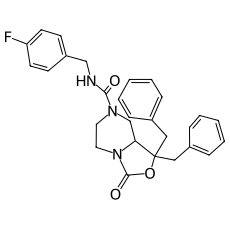 O=C(NCc1ccc(F)cc1)N1CCN2C(=O)OC(Cc3ccccc3)(Cc3ccccc3)C2C1